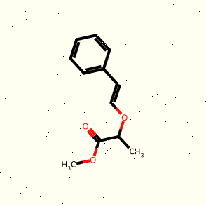 COC(=O)C(C)OC=Cc1ccccc1